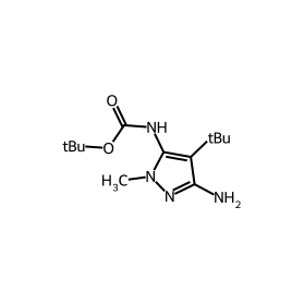 Cn1nc(N)c(C(C)(C)C)c1NC(=O)OC(C)(C)C